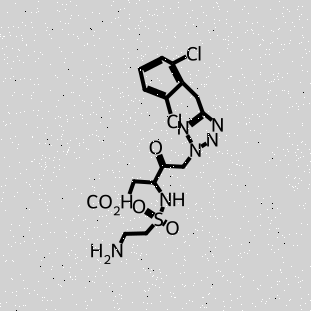 NCCS(=O)(=O)NC(CC(=O)O)C(=O)Cn1nnc(Cc2c(Cl)cccc2Cl)n1